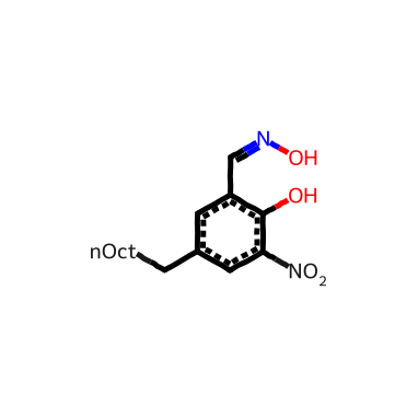 CCCCCCCCCc1cc(/C=N\O)c(O)c([N+](=O)[O-])c1